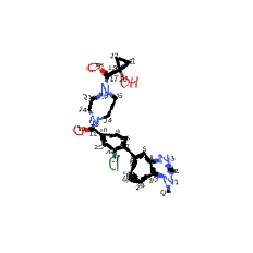 Cn1cnc2cc(-c3ccc(C(=O)N4CCN(C(=O)C5(O)CC5)CC4)cc3Cl)ccc21